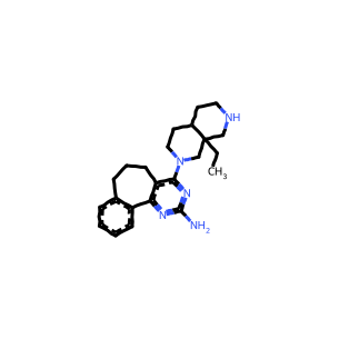 CCC12CNCCC1CCN(c1nc(N)nc3c1CCCc1ccccc1-3)C2